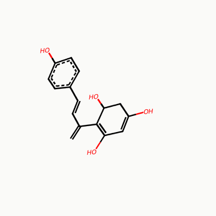 C=C(/C=C/c1ccc(O)cc1)C1=C(O)C=C(O)CC1O